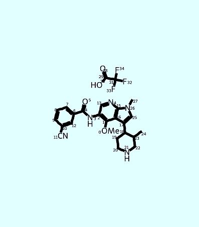 COc1c(NC(=O)c2cccc(C#N)c2)cnc2c1c(C1CCNCC1C)cn2C.O=C(O)C(F)(F)F